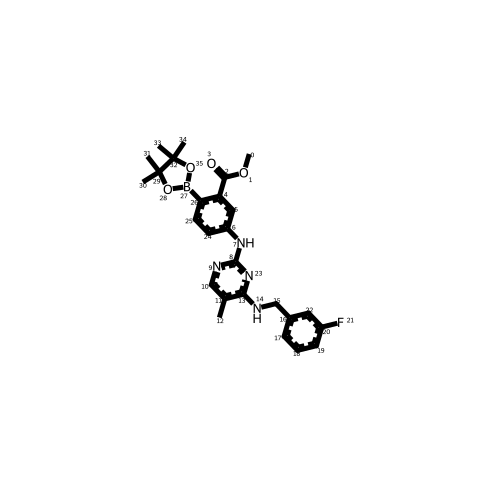 COC(=O)c1cc(Nc2ncc(C)c(NCc3cccc(F)c3)n2)ccc1B1OC(C)(C)C(C)(C)O1